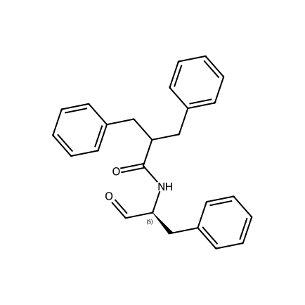 O=C[C@H](Cc1ccccc1)NC(=O)C(Cc1ccccc1)Cc1ccccc1